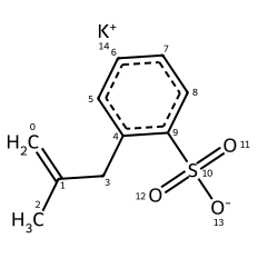 C=C(C)Cc1ccccc1S(=O)(=O)[O-].[K+]